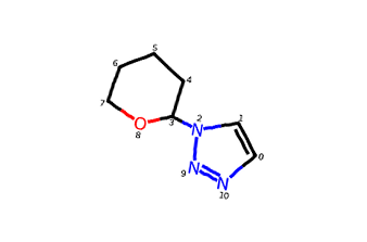 c1cn(C2CCCCO2)nn1